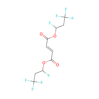 O=C(C=CC(=O)OC(F)CC(F)(F)F)OC(F)CC(F)(F)F